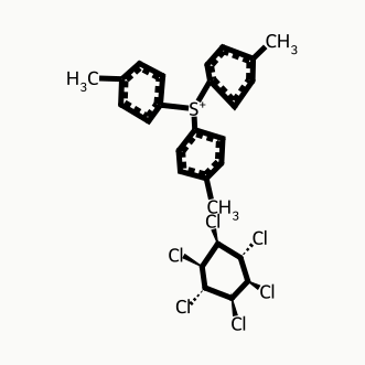 Cc1ccc([S+](c2ccc(C)cc2)c2ccc(C)cc2)cc1.Cl[C@H]1[C@H](Cl)[C@@H](Cl)[C@@H](Cl)[C@H](Cl)[C@H]1Cl